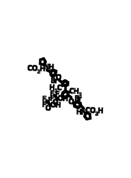 Cc1c(COc2ccc(CNC3(C(=O)O)CCCC3)cc2Br)cccc1-c1cccc(COc2ccc(CNC3(C(=O)O)CCCC3)cc2Br)c1C.O=C(O)C(F)(F)F.O=C(O)C(F)(F)F